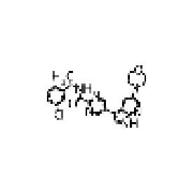 CC(NC(=O)c1ncc(-c2c[nH]c3ncc(N4CCOCC4)cc23)cn1)c1cccc(Cl)c1